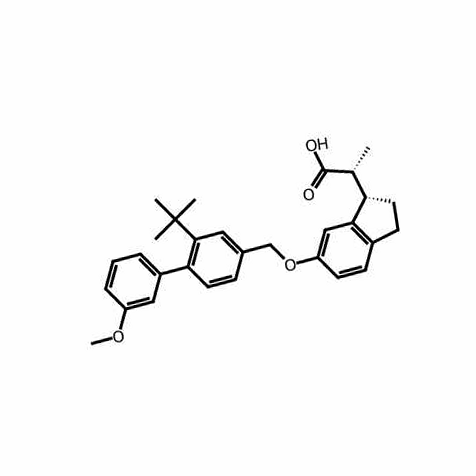 COc1cccc(-c2ccc(COc3ccc4c(c3)[C@H]([C@@H](C)C(=O)O)CC4)cc2C(C)(C)C)c1